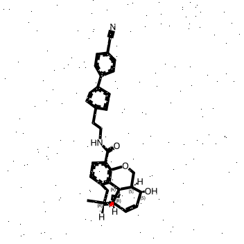 CN1CC[C@]23c4c5ccc(C(=O)NCCc6ccc(-c7ccc(C#N)cc7)cc6)c4OC[C@H]2[C@@H](O)C=C[C@H]3[C@H]1C5